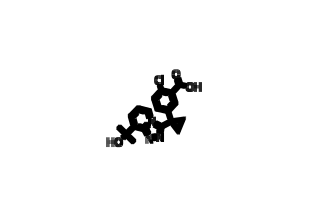 CC(C)(O)c1cccn2c(C3(c4ccc(Cl)c(C(=O)O)c4)CC3)nnc12